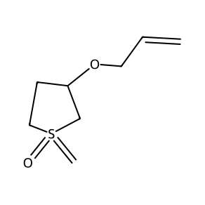 C=CCOC1CCS(=C)(=O)C1